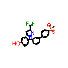 CS(=O)(=O)c1ccc(C2=CC(c3ccc(O)cc3)(n3ccc(C(F)F)n3)CC=C2)cc1